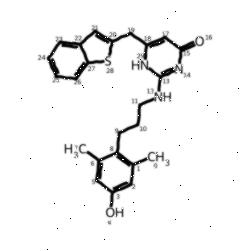 Cc1cc(O)cc(C)c1CCCNc1nc(=O)cc(Cc2cc3ccccc3s2)[nH]1